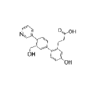 O=C(O)CCc1cc(O)ccc1-c1ccc(-c2cccnc2)c(CO)c1